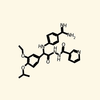 CCOc1cc(C(Nc2ccc(C(=N)N)cc2)C(=O)NNC(=O)c2cccnc2)ccc1OC(C)C